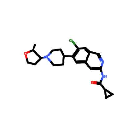 C[C@@H]1OCC[C@@H]1N1CCC(c2cc3cc(NC(=O)C4CC4)ncc3cc2Cl)CC1